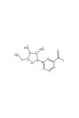 CC(=O)c1ccc[n+](C2OC(CO)C(O)C2O)c1